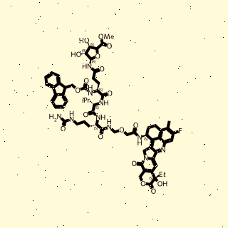 CC[C@@]1(O)C(=O)OCc2c1cc1n(c2=O)Cc2c-1nc1cc(F)c(C)c3c1c2[C@@H](NC(=O)COCNC(=O)[C@H](CCCNC(N)=O)NC(=O)[C@@H](NC(=O)[C@H](CCC(=O)N[C@@H]1OC(C(=O)OC)[C@@H](O)[C@H]1O)NC(=O)OCC1c2ccccc2-c2ccccc21)C(C)C)CC3